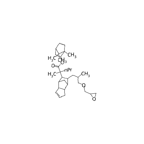 CCCC(C)(C(=O)OC1CC2CCC1(C)C2(C)C)C1C2CC(C3CC=CC32)C1CC(C)COCC1CO1